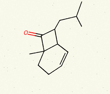 CC(C)CC1C(=O)C2(C)CCC=CC12